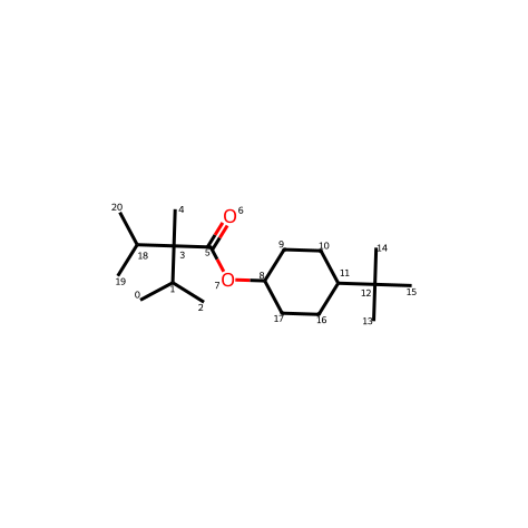 CC(C)C(C)(C(=O)OC1CCC(C(C)(C)C)CC1)C(C)C